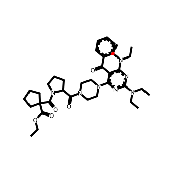 CCOC(=O)C1(C(=O)N2CCCC2C(=O)N2CCN(c3nc(N(CC)CC)nc(N(CC)CC)c3C(=O)c3ccccc3)CC2)CCCC1